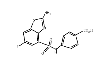 CCOC(=O)c1ccc(NS(=O)(=O)c2cc(F)cc3sc(N)nc23)cc1